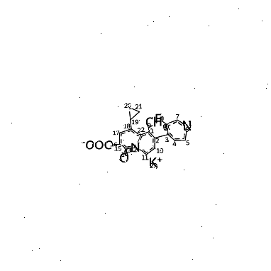 Cc1c(-c2ccncc2F)ccn2c(=O)c(C(=O)[O-])cc(C3CC3)c12.[K+]